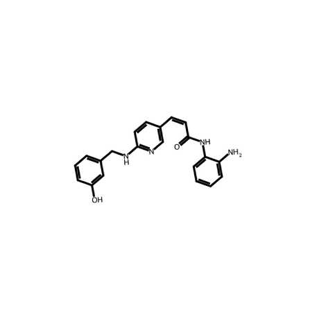 Nc1ccccc1NC(=O)/C=C\c1ccc(NCc2cccc(O)c2)nc1